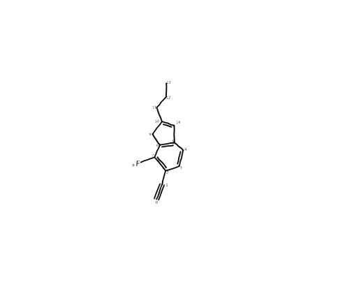 C#Cc1ccc2c(c1F)CC(CCC)=C2